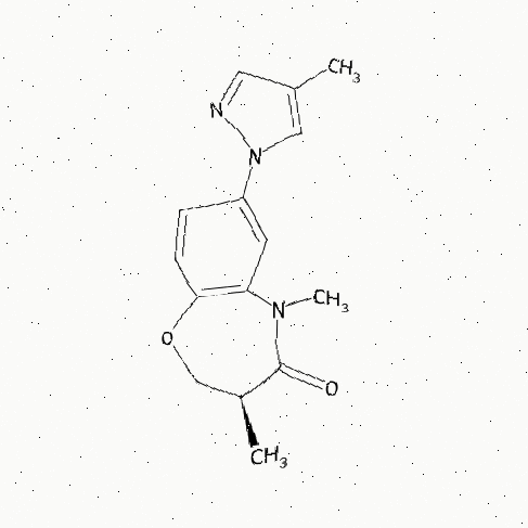 Cc1cnn(-c2ccc3c(c2)N(C)C(=O)[C@@H](C)CO3)c1